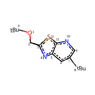 CC(C)(C)OCc1nc2cc(C(C)(C)C)cnc2s1